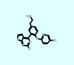 NCCc1ccc(Oc2ccc(C(F)(F)F)cn2)c(-c2nc(Cl)nc3sccc23)c1